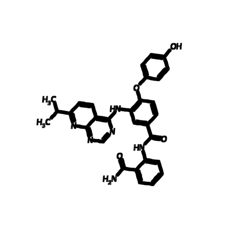 CC(C)c1ccc2c(Nc3cc(C(=O)Nc4ccccc4C(N)=O)ccc3Oc3ccc(O)cc3)ncnc2n1